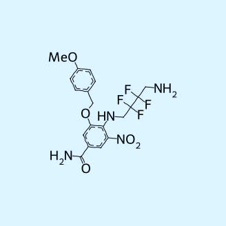 COc1ccc(COc2cc(C(N)=O)cc([N+](=O)[O-])c2NCC(F)(F)C(F)(F)CN)cc1